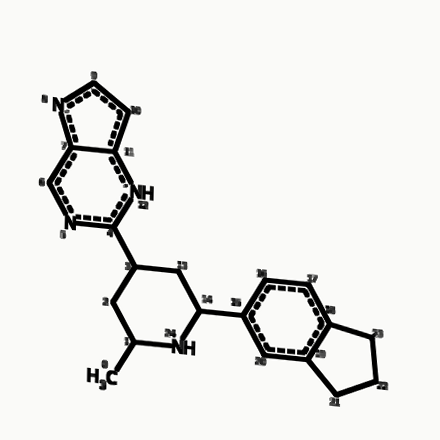 CC1CC(c2ncc3nccc-3[nH]2)CC(c2ccc3c(c2)CCC3)N1